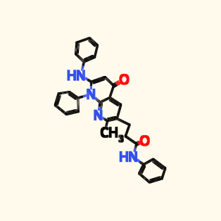 Cc1nc2c(cc1CCC(=O)Nc1ccccc1)c(=O)cc(Nc1ccccc1)n2-c1ccccc1